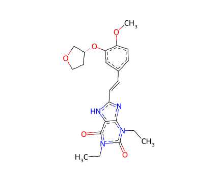 CCn1c(=O)c2[nH]c(/C=C/c3ccc(OC)c(O[C@@H]4CCOC4)c3)nc2n(CC)c1=O